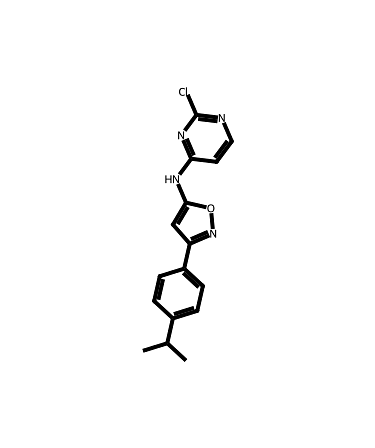 CC(C)c1ccc(-c2cc(Nc3ccnc(Cl)n3)on2)cc1